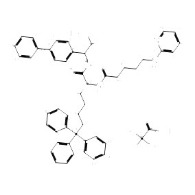 O=C(O)C(F)(F)F.O=C(O)CC(NC(=O)[C@H](CCCCC(c1ccccc1)(c1ccccc1)c1ccccc1)NC(=O)CCCCNc1ccccn1)c1ccc(-c2ccccc2)cc1